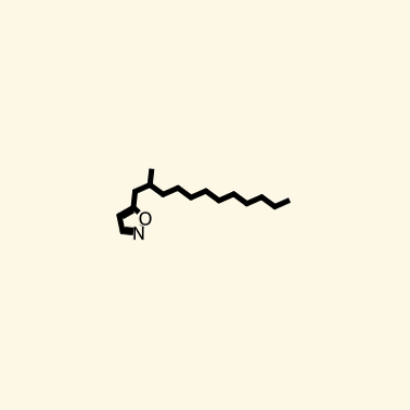 CCCCCCCCCCC(C)Cc1ccno1